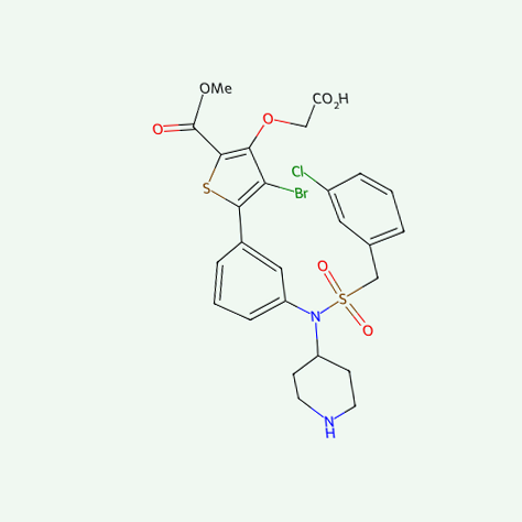 COC(=O)c1sc(-c2cccc(N(C3CCNCC3)S(=O)(=O)Cc3cccc(Cl)c3)c2)c(Br)c1OCC(=O)O